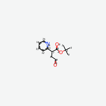 CC(C)(C)OC(=O)C(CC=O)c1ccccn1